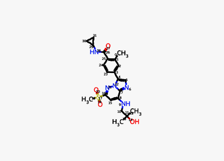 Cc1cc(-c2cnc3c(NCC(C)(C)O)cc(S(C)(=O)=O)nn23)ccc1C(=O)NC1CC1